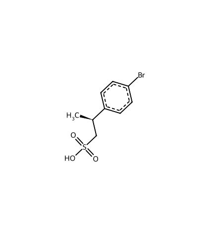 C[C@H](CS(=O)(=O)O)c1ccc(Br)cc1